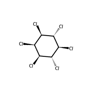 Cl[C@H]1[C@H](Cl)[C@@H](Cl)[C@H](Cl)[C@@H](Cl)[C@H]1Cl